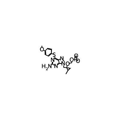 COc1ccc(Sc2nc(N)nc3c2ncn3CC2(OCOP(=O)=O)CC2C)cc1